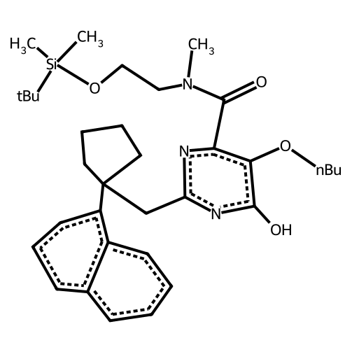 CCCCOc1c(O)nc(CC2(c3cccc4ccccc34)CCCC2)nc1C(=O)N(C)CCO[Si](C)(C)C(C)(C)C